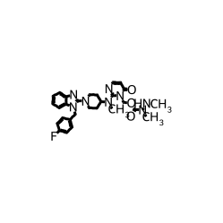 CNN(C)C(=O)OCn1c(N(C)C2CCN(c3nc4ccccc4n3Cc3ccc(F)cc3)CC2)nccc1=O